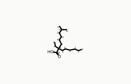 CCCCCCC(CC)(CCCCC(C)C)C(=O)O